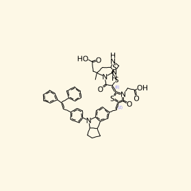 CC(CC(=O)O)(CC1NCN1)N1C(=O)/C(=c2\s/c(=C\c3ccc4c(c3)C3CCCC3N4c3ccc(C=C(c4ccccc4)c4ccccc4)cc3)c(=O)n2CC(=O)O)SC1=S